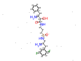 NC(CN[S+]([O-])CCCNC(=O)C(O)C(N)Cc1ccccc1)Cc1cc(F)ccc1F